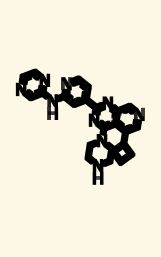 c1cnc(Nc2cc(-c3nc(N4CCNCC4)c4c(C5CCC5)cncc4n3)ccn2)cn1